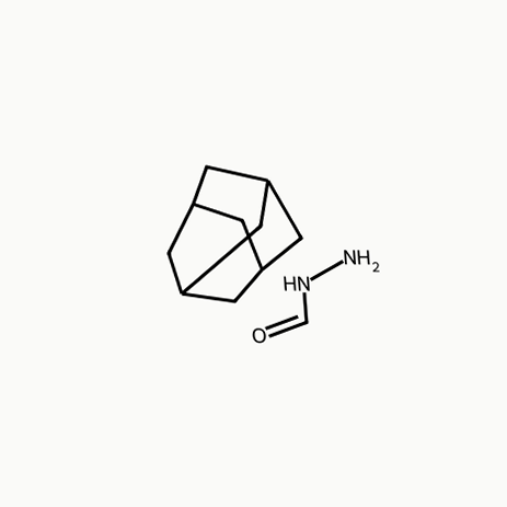 C1C2CC3CC1CC(C2)C3.NNC=O